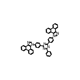 c1ccc(-c2nc(-c3ccc(-n4cnc5c6ccccc6c6ccccc6c54)cc3)nc(-c3ccc(-n4cnc5c6ccccc6c6ccccc6c54)cc3)n2)cc1